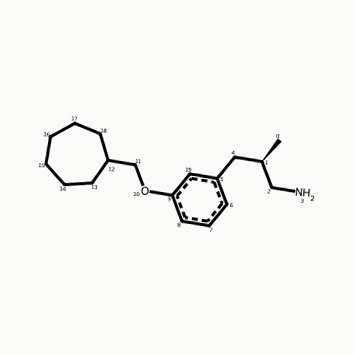 C[C@@H](CN)Cc1cccc(OCC2CCCCCC2)c1